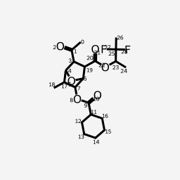 CC(=O)C1C2OC(C(OC(=O)C3CCCCC3)C2C)C1C(=O)OC(C)C(C)(F)F